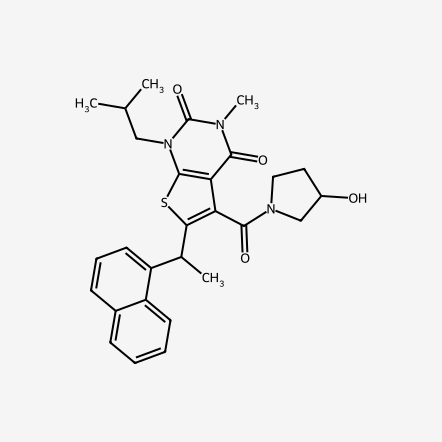 CC(C)Cn1c(=O)n(C)c(=O)c2c(C(=O)N3CCC(O)C3)c(C(C)c3cccc4ccccc34)sc21